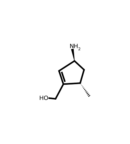 C[C@H]1C[C@H](N)C=C1CO